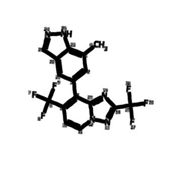 Cc1cc(-c2c(C(F)(F)F)ccn3nc(C(F)(F)F)nc23)cc2cn[nH]c12